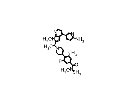 Cc1cc(C(=O)N(C)C)cc(F)c1C1=CCN(C(C)c2cc3c(-c4ccc(N)nc4)ccnc3n2C)CC1